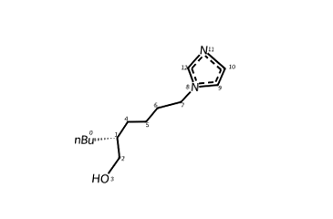 CCCC[C@@H](CO)CCCCn1ccnc1